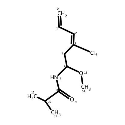 C=C/C=C(/Cl)CC(NC(=O)C(C)C)OC